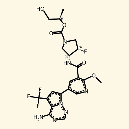 COc1ncc(-c2cc(C(F)(F)F)c3c(N)ncnn23)cc1C(=O)N[C@@H]1CN(C(=O)O[C@H](C)CO)C[C@@H]1F